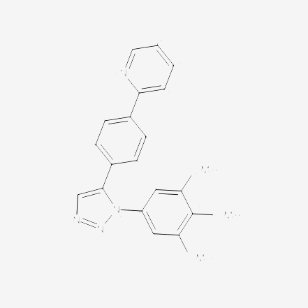 COc1cc(-n2nncc2-c2ccc(-c3ccccn3)cc2)cc(OC)c1OC